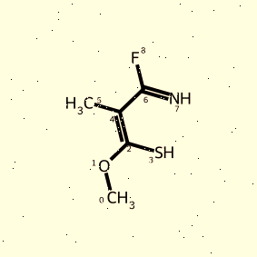 CO/C(S)=C(\C)C(=N)F